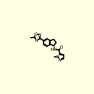 Cc1nc(-c2ccc3c(c2)CC[C@H]3NC(=O)c2ccnn2C)no1